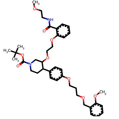 COCCNC(=O)c1ccccc1OCCOC1CN(C(=O)OC(C)(C)C)CCC1c1ccc(OCCCOCc2ccccc2OC)cc1